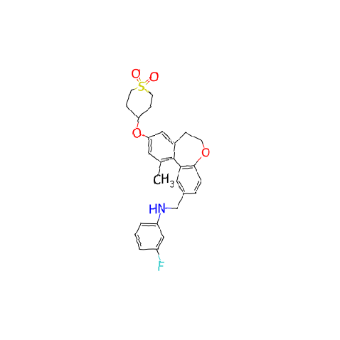 Cc1cc(OC2CCS(=O)(=O)CC2)cc2c1-c1cc(CNc3cccc(F)c3)ccc1OCC2